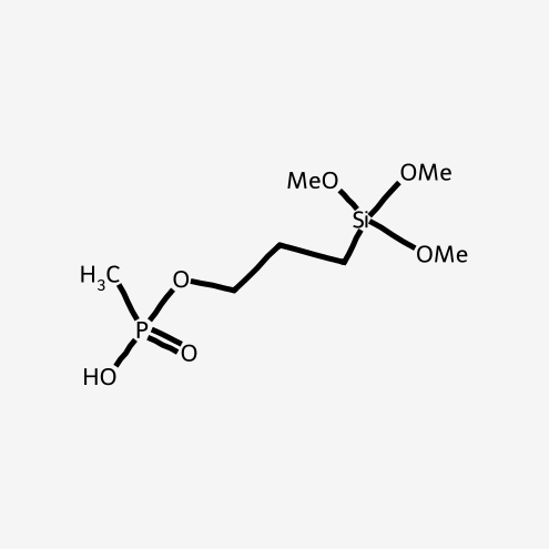 CO[Si](CCCOP(C)(=O)O)(OC)OC